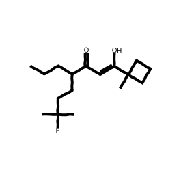 CCCC(CCC(C)(C)F)C(=O)/C=C(\O)C1(C)CCC1